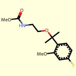 COC(=O)NCCOC(C)(C)c1ccc(F)cc1OC